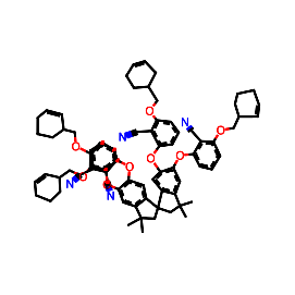 CC1(C)CC2(CC(C)(C)c3cc(Oc4cccc(OCC5C=CCCC5)c4C#N)c(Oc4cccc(OCC5CC=CCC5)c4C#N)cc32)c2cc(Oc3cccc(OCC4C=CCCC4)c3C#N)c(Oc3cccc(OCC4C=CCCC4)c3C#N)cc21